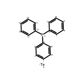 [Te].c1ccc(P(c2ccccc2)c2ccccc2)cc1